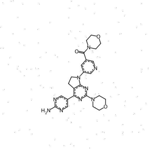 Nc1ncc(-c2nc(N3CCOCC3)nc3c2CCN3c2cncc(C(=O)N3CCOCC3)c2)cn1